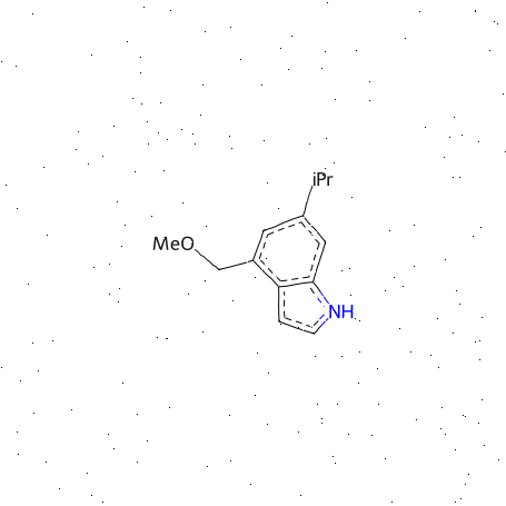 COCc1cc(C(C)C)cc2[nH]ccc12